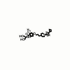 Cc1cc(OCCCC2CCN(c3nc(C4CCC4)no3)CC2)ccc1C(=O)NC(CO)CO